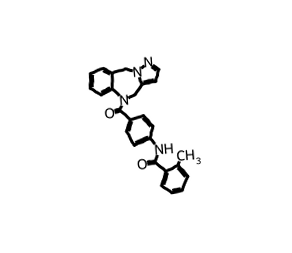 Cc1ccccc1C(=O)Nc1ccc(C(=O)N2Cc3ccnn3Cc3ccccc32)cc1